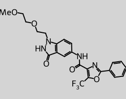 COCCOCCn1[nH]c(=O)c2cc(NC(=O)c3nc(-c4ccccc4)oc3C(F)(F)F)ccc21